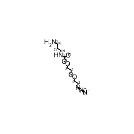 [N-]=[N+]=NCCOOCCOOC(=O)NCCCN